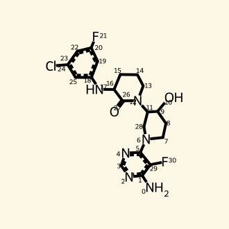 Nc1ncnc(N2CCC(O)C(N3CCCC(Nc4cc(F)cc(Cl)c4)C3=O)C2)c1F